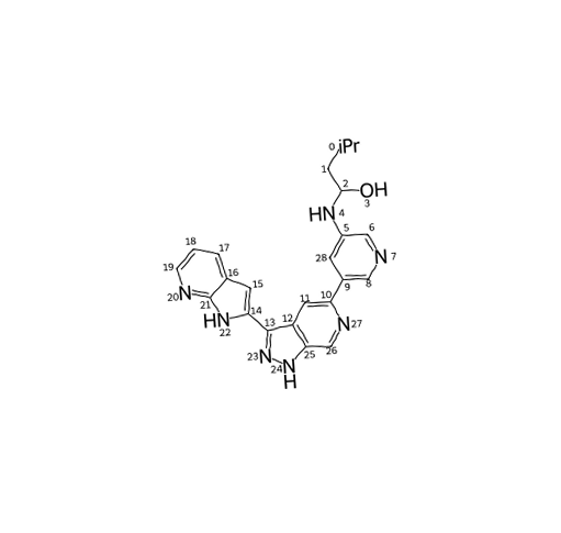 CC(C)CC(O)Nc1cncc(-c2cc3c(-c4cc5cccnc5[nH]4)n[nH]c3cn2)c1